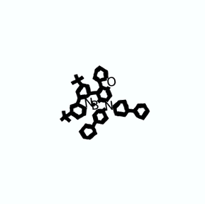 CC(C)(C)c1ccc2c(c1)c1cc(C(C)(C)C)cc3c1n2B1c2cc(-c4ccccc4)ccc2N(c2ccc(-c4ccccc4)cc2)c2cc4oc5ccccc5c4c-3c21